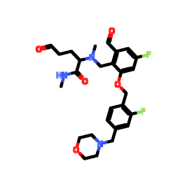 CNC(=O)C(CCC=O)N(C)Cc1c(C=O)cc(F)cc1OCc1ccc(CN2CCOCC2)cc1F